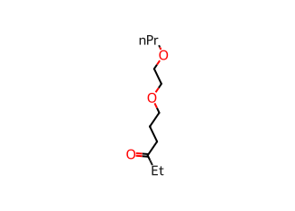 CCCOCCOCCCC(=O)CC